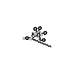 CCCCCCCCCCCCC/C=C/[C@@H](OCc1ccc(OC)cc1)[C@H](COC1OC(COCc2ccccc2)C(OCc2ccccc2)C(OCc2ccccc2)C1OCc1ccccc1)N=[N+]=[N-]